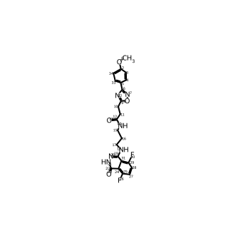 COc1ccc(-c2noc(CCC(=O)NCCCNc3n[nH]c(=O)c4c(F)ccc(F)c34)n2)cc1